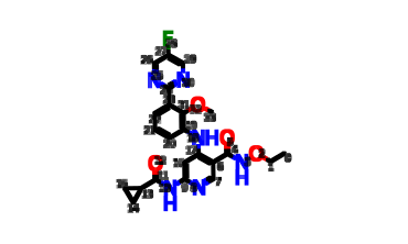 CCONC(=O)c1cnc(NC(=O)C2CC2)cc1Nc1cccc(-c2ncc(F)cn2)c1OC